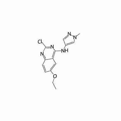 CCOc1ccc2nc(Cl)nc(Nc3cnn(C)c3)c2c1